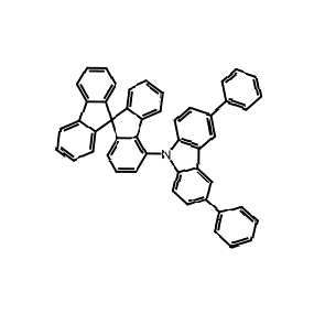 c1ccc(-c2ccc3c(c2)c2cc(-c4ccccc4)ccc2n3-c2cccc3c2-c2ccccc2C32c3ccccc3-c3ccccc32)cc1